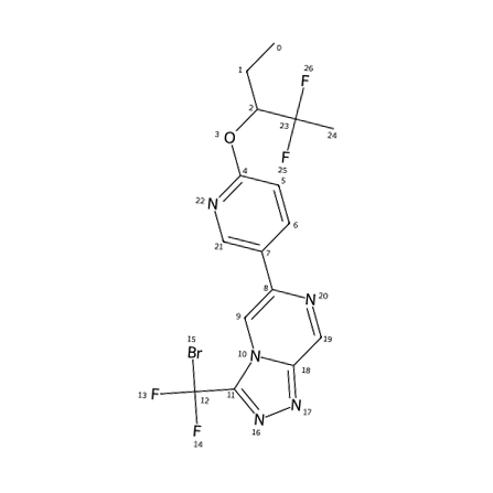 CCC(Oc1ccc(-c2cn3c(C(F)(F)Br)nnc3cn2)cn1)C(C)(F)F